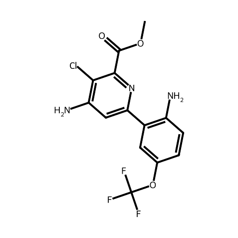 COC(=O)c1nc(-c2cc(OC(F)(F)F)ccc2N)cc(N)c1Cl